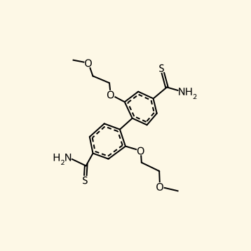 COCCOc1cc(C(N)=S)ccc1-c1ccc(C(N)=S)cc1OCCOC